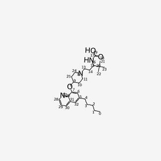 CCCCCc1cc(OC2CCN(CCC(NC(=O)O)C(C)(C)C)CC2)c2ncccc2c1